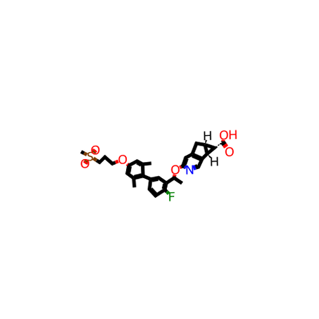 Cc1cc(OCCCS(C)(=O)=O)cc(C)c1-c1ccc(F)c(C(C)Oc2cc3c(cn2)[C@H]2[C@@H](C3)[C@@H]2C(=O)O)c1